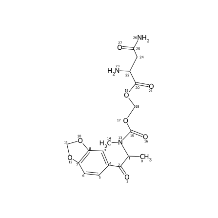 CC(C(=O)c1ccc2c(c1)OCO2)N(C)C(=O)OCOC(=O)C(N)CC(N)=O